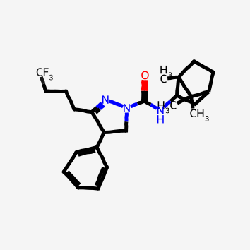 CC1(C)C2CCC1(C)C(NC(=O)N1CC(c3ccccc3)C(CCCC(F)(F)F)=N1)C2